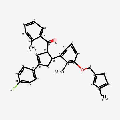 COc1c(OCC2=CC(C)=CC2)cccc1C1CC(c2ccc(F)cc2)=CC1C(=O)c1ccccc1C